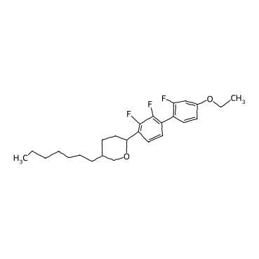 CCCCCCCC1CCC(c2ccc(-c3ccc(OCC)cc3F)c(F)c2F)OC1